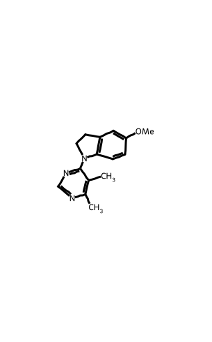 COc1ccc2c(c1)CCN2c1ncnc(C)c1C